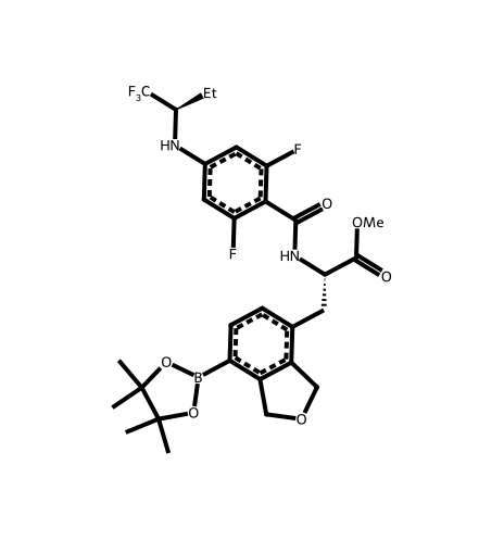 CC[C@@H](Nc1cc(F)c(C(=O)N[C@@H](Cc2ccc(B3OC(C)(C)C(C)(C)O3)c3c2COC3)C(=O)OC)c(F)c1)C(F)(F)F